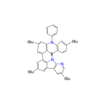 CC(C)(C)c1ccc2c(c1)N(c1ccccc1)c1cc(C(C)(C)C)cc3c1B2n1c2ncc(C(C)(C)C)cc2c2cc(C(C)(C)C)cc-3c21